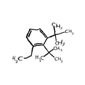 [CH2]Cc1cccc(C(C)(C)C)c1C(C)(C)C